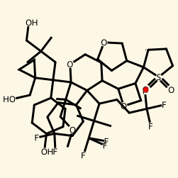 COCC(C)(C)C1(C(CC(C)(C)CO)(C2CCC(O)CC2)C2(CO)CC2)OCCC(C2OCC2C2(C3CCOC3)[CH]CCS2(=O)=O)C1(C1CCC(F)(F)CC1)C(CCC(F)(F)F)C(C)(C)C(F)(F)F